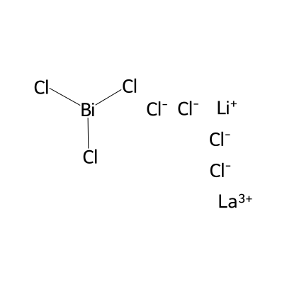 [Cl-].[Cl-].[Cl-].[Cl-].[Cl][Bi]([Cl])[Cl].[La+3].[Li+]